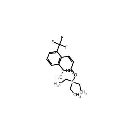 CC[Si](CC)(CC)OC/C=C\c1c([C@@H](C)N)cccc1C(F)(F)F